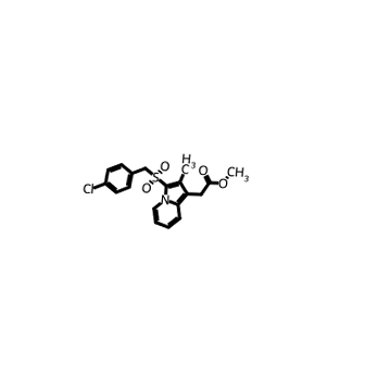 COC(=O)Cc1c(C)c(S(=O)(=O)Cc2ccc(Cl)cc2)n2ccccc12